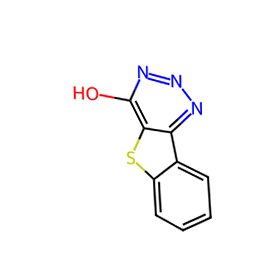 Oc1nnnc2c1sc1ccccc12